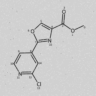 COC(=O)c1coc(-c2ccnc(Cl)c2)n1